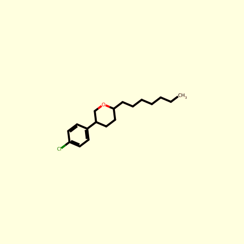 CCCCCCCC1CCC(c2ccc(Cl)cc2)CO1